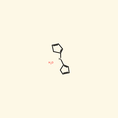 C1=CC[C]([Ni][C]2=CC=CC2)=C1.O